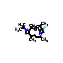 CC(C)C1C(C(C)CCC(C)N2CC(F)(C(C)C)C2)CN1C(C)C